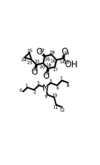 CCCCN(CCCC)CCCC.O=C(O)C1CC(=O)C(C(=O)C2CC2)C(=O)C1